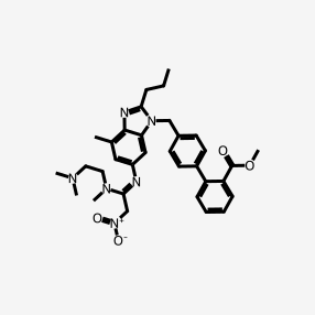 CCCc1nc2c(C)cc(N=C(C[N+](=O)[O-])N(C)CCN(C)C)cc2n1Cc1ccc(-c2ccccc2C(=O)OC)cc1